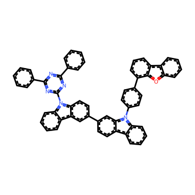 c1ccc(-c2nc(-c3ccccc3)nc(-n3c4ccccc4c4cc(-c5ccc6c7ccccc7n(-c7ccc(-c8cccc9c8oc8ccccc89)cc7)c6c5)ccc43)n2)cc1